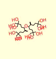 C=C(CCC(CO)(CO)CO)C(CCC(CO)(CO)CO)OC(CCC(CO)(CO)CO)C(=C)CCC(CO)(CO)CO